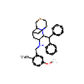 COc1ccc(OC(F)(F)F)cc1CNC1CC2CC3CSCC2N3C1C(c1ccccc1)c1ccccc1